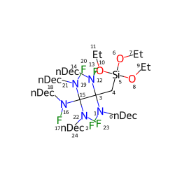 CCCCCCCCCCN(F)C(C[Si](OCC)(OCC)OCC)(N(F)CCCCCCCCCC)C(N(F)CCCCCCCCCC)(N(F)CCCCCCCCCC)N(F)CCCCCCCCCC